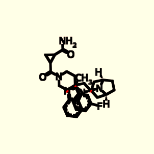 Cc1nc2ccccc2n1[C@H]1C[C@H]2CC[C@@H](C1)N2CCC1(c2cccc(F)c2)CCN(C(=O)C2CC2C(N)=O)CC1